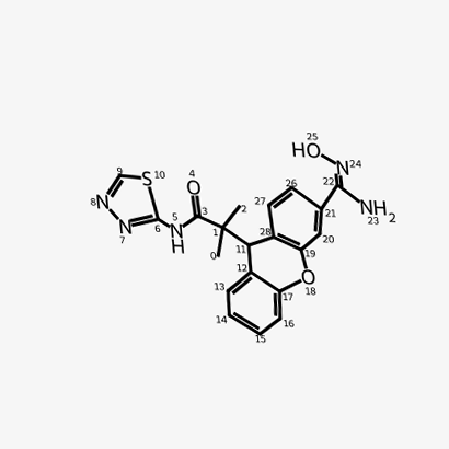 CC(C)(C(=O)Nc1nncs1)C1c2ccccc2Oc2cc(/C(N)=N\O)ccc21